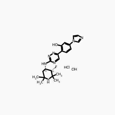 CC1(C)C[C@H](Nc2ncc(-c3ccc(-n4ccnc4)cc3O)nn2)[C@H](F)C(C)(C)N1.Cl.Cl